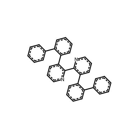 c1ccc(-c2ccccc2-c2cccnc2-c2ncccc2-c2ccccc2-c2ccccc2)cc1